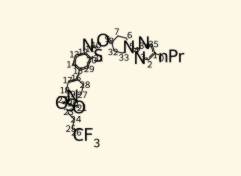 CCCc1cnc(N2CCC(Oc3nc4ccc(C5=CCN(S(=O)(=O)CCCC(F)(F)F)CC5)cc4s3)CC2)nc1